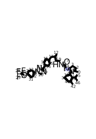 CC1=CC/C(=N\C(=O)NCCC(C)Cc2ccc(-c3ncn(-c4ccc(OC(F)(F)F)cc4)n3)cc2)N1c1cccc(C)c1C(C)C